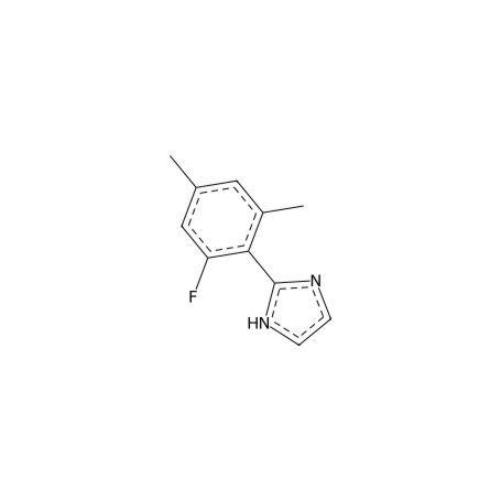 Cc1cc(C)c(-c2ncc[nH]2)c(F)c1